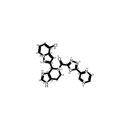 O=C(c1nnc(-c2cnccn2)o1)N1CCc2[nH]cnc2C1c1cc2c(Cl)cccn2n1